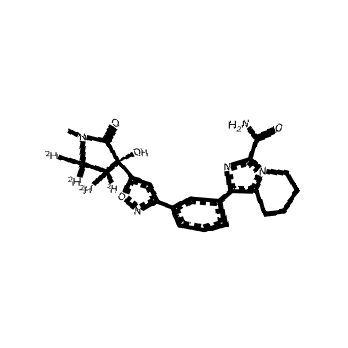 [2H]C1([2H])N(C)C(=O)[C@](O)(c2cc(-c3cccc(-c4nc(C(N)=O)n5c4CCCC5)c3)no2)C1([2H])[2H]